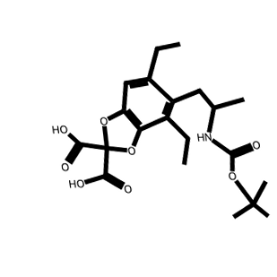 CCc1cc2c(c(CC)c1CC(C)NC(=O)OC(C)(C)C)OC(C(=O)O)(C(=O)O)O2